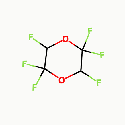 FC1OC(F)(F)C(F)OC1(F)F